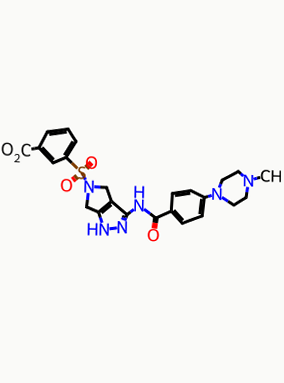 CN1CCN(c2ccc(C(=O)Nc3n[nH]c4c3CN(S(=O)(=O)c3cccc(C(=O)O)c3)C4)cc2)CC1